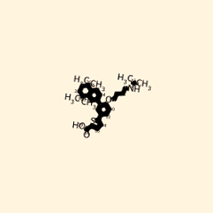 CC(C)NCCCCOc1ccc(-c2ccc(C(=O)O)s2)cc1-c1ccc2c(c1)C(C)(C)CCC2(C)C